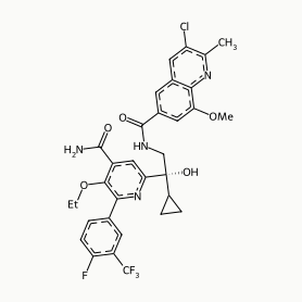 CCOc1c(C(N)=O)cc([C@@](O)(CNC(=O)c2cc(OC)c3nc(C)c(Cl)cc3c2)C2CC2)nc1-c1ccc(F)c(C(F)(F)F)c1